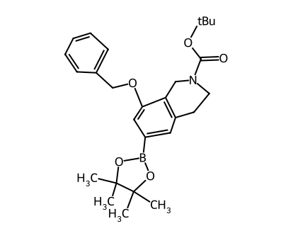 CC(C)(C)OC(=O)N1CCc2cc(B3OC(C)(C)C(C)(C)O3)cc(OCc3ccccc3)c2C1